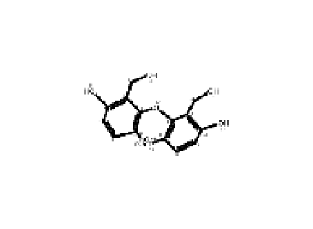 CCCCCCCCc1ccc(O)c(CO)c1Oc1c(CCCCCCCC)ccc(O)c1CO